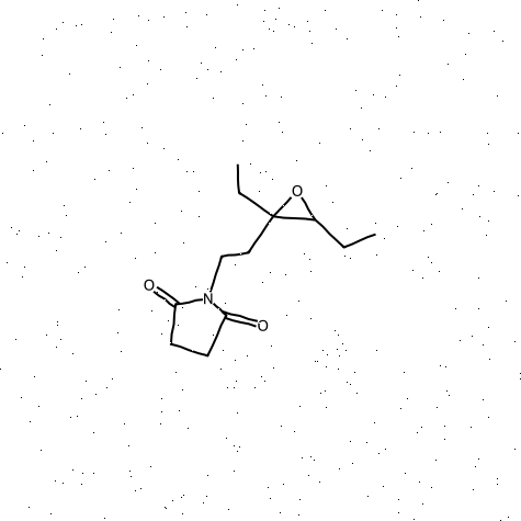 CCC1OC1(CC)CCN1C(=O)CCC1=O